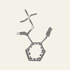 C#Cc1ccccc1C(=O)O[Si](C)(C)C